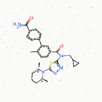 Cc1ccc(C(=O)N(CC2CC2)c2nnc(N3[C@H](C)CCC[C@@H]3C)s2)cc1-c1ccc(C(N)=O)cc1